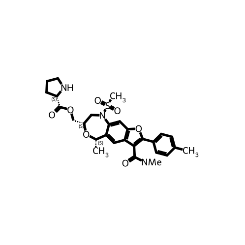 CNC(=O)c1c(-c2ccc(C)cc2)oc2cc3c(cc12)[C@H](C)O[C@H](COC(=O)[C@@H]1CCCN1)CN3S(C)(=O)=O